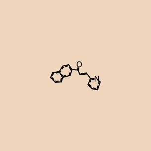 O=C(C=Cc1ccccn1)c1ccc2ccccc2c1